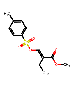 CC/C(=C\OS(=O)(=O)c1ccc(C)cc1)C(=O)OC